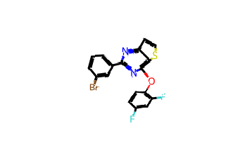 Fc1ccc(Oc2nc(-c3cccc(Br)c3)nc3ccsc23)c(F)c1